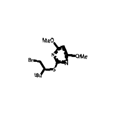 COc1cc(OC)nc(SC(CBr)C(C)(C)C)n1